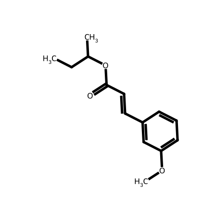 CCC(C)OC(=O)/C=C/c1cccc(OC)c1